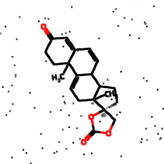 CC12CCC(=O)C=C1C=CC1C2=CCC2(C)C1CC[C@@]21COC(=O)O1